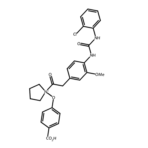 COc1cc(CC(=O)[N+]2(Oc3ccc(C(=O)O)cc3)CCCC2)ccc1NC(=O)Nc1ccccc1Cl